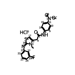 Cl.Cn1c(CC(=O)Nc2ccc([N+](=O)[O-])cc2)cs/c1=N/c1cccc(F)c1